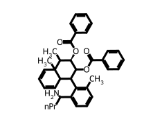 CCCC(N)c1cccc(C)c1C1C(OC(=O)c2ccccc2)[C@H](OC(=O)c2ccccc2)C(C)C2(C)C=CC=CC12